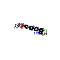 CCCCOC(OCCCC)C1CCN(c2ccc(C3CCN(c4ccc(Cl)c5c(C#N)c[nH]c45)CC3)nc2)CC1